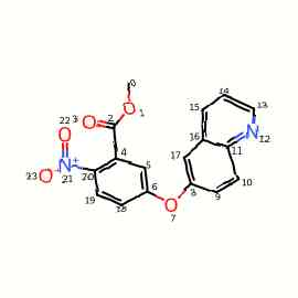 COC(=O)c1cc(Oc2ccc3ncccc3c2)ccc1[N+](=O)[O-]